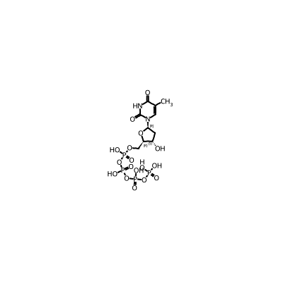 Cc1cn([C@H]2C[C@H](O)[C@@H](COP(=O)(O)OP(=O)(O)OP(=O)(O)OP(=O)(O)O)O2)c(=O)[nH]c1=O